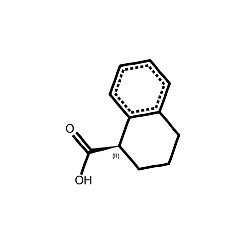 O=C(O)[C@@H]1CCCc2ccccc21